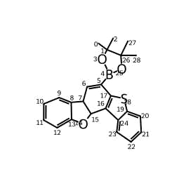 CC1(C)OB(C2=CC3c4ccccc4OC3c3c2sc2ccccc32)OC1(C)C